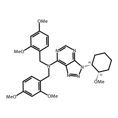 COc1ccc(CN(Cc2ccc(OC)cc2OC)c2ncnc3c2nnn3[C@@H]2CCCC[C@@H]2OC)c(OC)c1